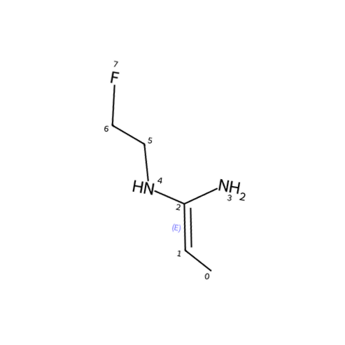 C/C=C(\N)NCCF